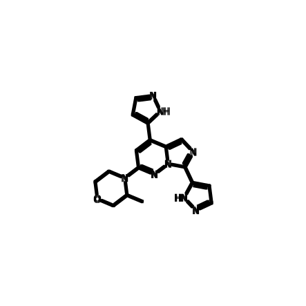 CC1COCCN1c1cc(-c2ccn[nH]2)c2cnc(-c3ccn[nH]3)n2n1